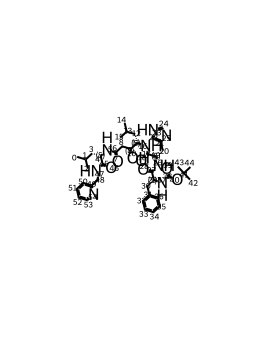 CC(C)C[C@H](NC(=O)C[C@H](O)[C@H](CC(C)C)NC(=O)[C@H](Cc1c[nH]cn1)NC(=O)[C@H](Cc1ccccc1)NC(=O)OC(C)(C)C)C(=O)NCc1ccccn1